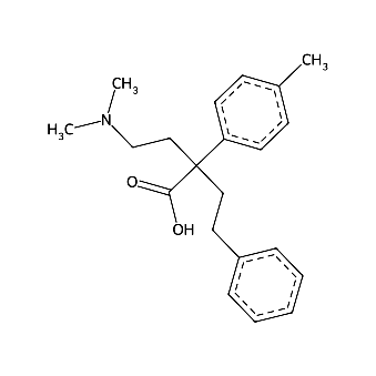 Cc1ccc(C(CCc2ccccc2)(CCN(C)C)C(=O)O)cc1